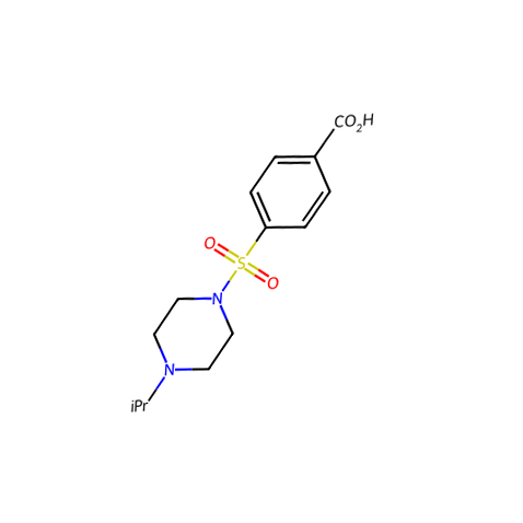 CC(C)N1CCN(S(=O)(=O)c2ccc(C(=O)O)cc2)CC1